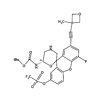 CC1(C#Cc2cc(F)c3c(c2)C2(CNC[C@@H](NC(=O)OC(C)(C)C)O2)c2cc(OS(=O)(=O)C(F)(F)F)ccc2O3)COC1